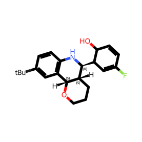 CC(C)(C)c1ccc2c(c1)[C@H]1OCCC[C@H]1[C@H](C1C=C(F)C=CC1O)N2